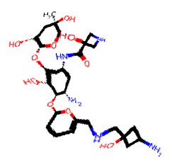 C[C@]1(O)CO[C@H](O[C@@H]2[C@@H](O)[C@H](O[C@@H]3CCC=C(CNCC4(O)CC(N)C4)O3)[C@@H](N)C[C@H]2NC(=O)C2(O)CNC2)[C@H](O)C1